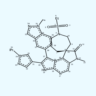 CCS(=O)(=O)N1CCC[C@@]2(CC1)C(=O)N(C)c1cnc3[nH]c(-c4cnn(C(C)C)c4)c(-c4ccc5c(cnn5C)c4)c3c12